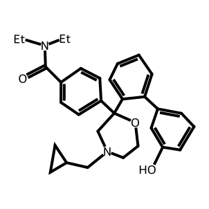 CCN(CC)C(=O)c1ccc(C2(c3ccccc3-c3cccc(O)c3)CN(CC3CC3)CCO2)cc1